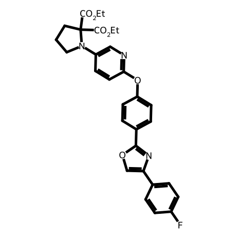 CCOC(=O)C1(C(=O)OCC)CCCN1c1ccc(Oc2ccc(-c3nc(-c4ccc(F)cc4)co3)cc2)nc1